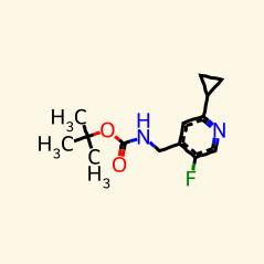 CC(C)(C)OC(=O)NCc1cc(C2CC2)ncc1F